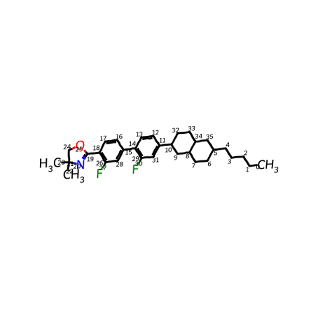 CCCCCC1CCC2CC(c3ccc(-c4ccc(C5=NC(C)(C)CO5)c(F)c4)c(F)c3)CCC2C1